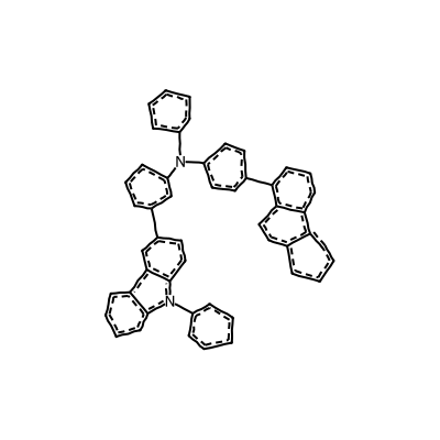 c1ccc(N(c2ccc(-c3cccc4c3ccc3ccccc34)cc2)c2cccc(-c3ccc4c(c3)c3ccccc3n4-c3ccccc3)c2)cc1